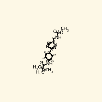 COC(=O)NCc1nnc(-c2ccc(NC(=O)C(C)(C)C)cc2)nn1